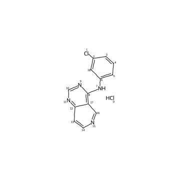 Cl.Clc1cccc(Nc2ncnc3ccncc23)c1